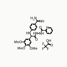 COc1cc(C(Nc2ccc(C(=N)N)cc2)C(=O)NNC(=O)c2ccccn2)cc(OC)c1OC.O=C(O)C(F)(F)F